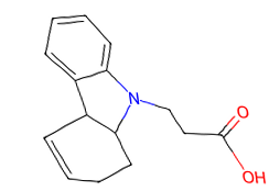 O=C(O)CCN1c2ccccc2C2C=CCCC21